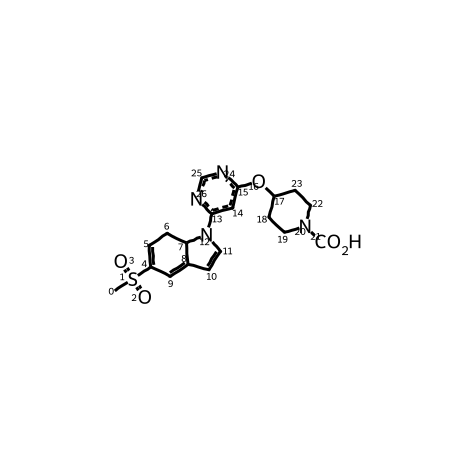 CS(=O)(=O)C1=CCC2C(=C1)C=CN2c1cc(OC2CCN(C(=O)O)CC2)ncn1